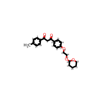 Cc1ccc(C(=O)CC(=O)c2ccc(OCCOC3CCCCO3)cc2)cc1